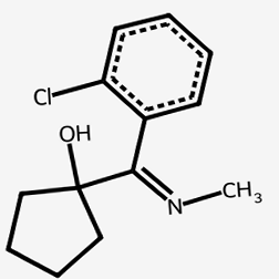 CN=C(c1ccccc1Cl)C1(O)CCCC1